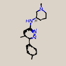 Cc1ccc(-c2nnc(N[C@@H]3CCCN(C)C3)cc2C)cc1